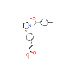 COC(=O)C=Cc1ccc([C@@H]2CCCN2CC(O)c2ccc(C)cc2)cc1